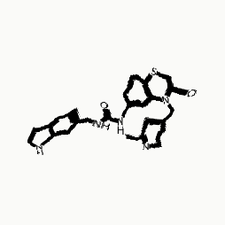 Cc1cc(CN2C(=O)CSc3ccc(NC(=O)Nc4ccc5cc[nH]c5c4)cc32)ccn1